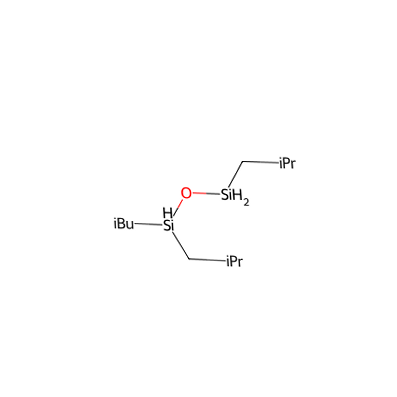 CCC(C)[SiH](CC(C)C)O[SiH2]CC(C)C